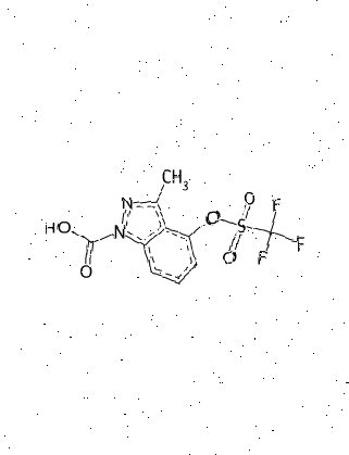 Cc1nn(C(=O)O)c2cccc(OS(=O)(=O)C(F)(F)F)c12